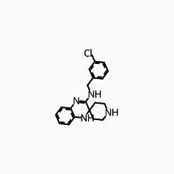 Clc1cccc(CNC2=Nc3ccccc3NC23CCNCC3)c1